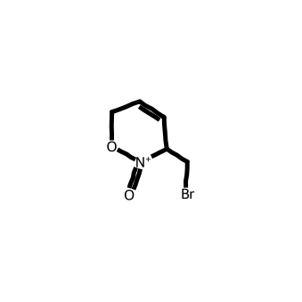 O=[N+]1OCC=CC1CBr